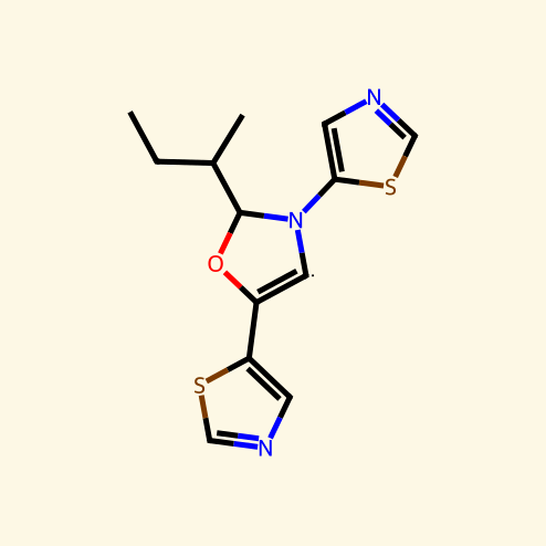 CCC(C)C1OC(c2cncs2)=[C]N1c1cncs1